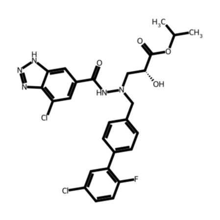 CC(C)OC(=O)[C@H](O)CN(Cc1ccc(-c2cc(Cl)ccc2F)cc1)NC(=O)c1cc(Cl)c2nn[nH]c2c1